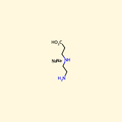 NCCNCCC(=O)O.[Na].[Na]